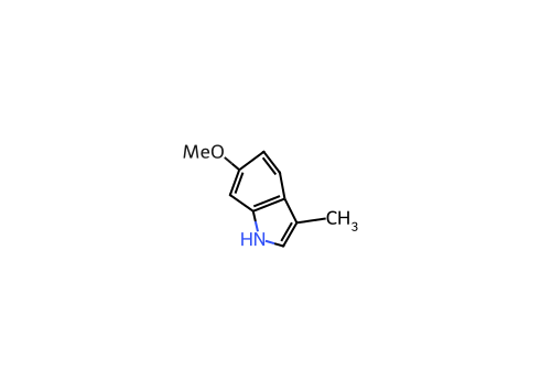 COc1ccc2c(C)c[nH]c2c1